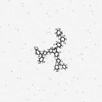 c1ccc(N(c2ccccc2)c2ccc(-c3ccc4c(c3)c3cc(-c5ccc(N(c6ccccc6)c6ccccc6)cc5)ccc3n4-c3ccc(-c4cccc(-c5ncccn5)c4)cc3)cc2)cc1